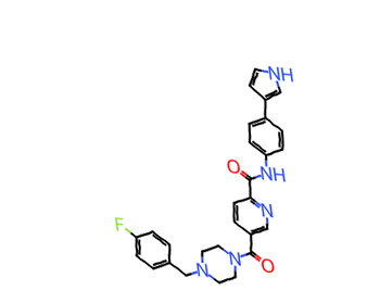 O=C(Nc1ccc(-c2cc[nH]c2)cc1)c1ccc(C(=O)N2CCN(Cc3ccc(F)cc3)CC2)cn1